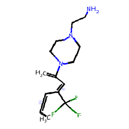 C=C(/C=C(\C=C/C)C(F)(F)F)N1CCN(CCN)CC1